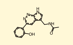 CC(=O)NCc1c[nH]c2nnc(-c3ccccc3O)cc12